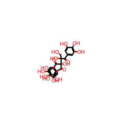 O=C(c1cc(O)c(O)c(O)c1)C(O)(CO)C(O)(C(=O)c1cc(O)c(O)c(O)c1)C(=O)c1cc(O)c(O)c(O)c1